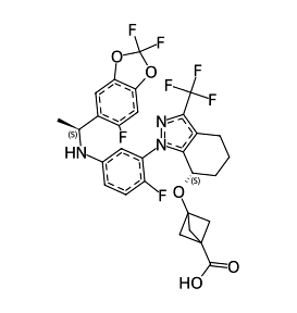 C[C@H](Nc1ccc(F)c(-n2nc(C(F)(F)F)c3c2[C@@H](OC24CC(C(=O)O)(C2)C4)CCC3)c1)c1cc2c(cc1F)OC(F)(F)O2